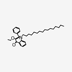 CCCCCCCCCCCCCCCCn1c(-c2ccccc2)c(OCC)c(=O)c2ccccc21